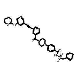 O=C(NS(=O)(=O)Cc1ccccc1)c1ccc(N2CCN(C(=O)c3cncc(C#Cc4cncc(OC5CCCCO5)c4)c3)CC2)cc1